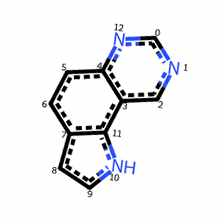 c1ncc2c(ccc3cc[nH]c32)n1